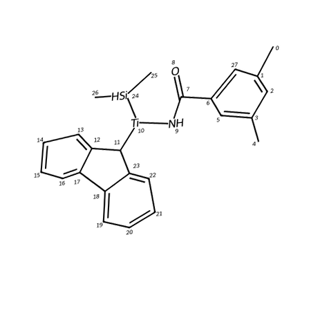 Cc1cc(C)cc(C(=O)[NH][Ti]([CH]2c3ccccc3-c3ccccc32)[SiH](C)C)c1